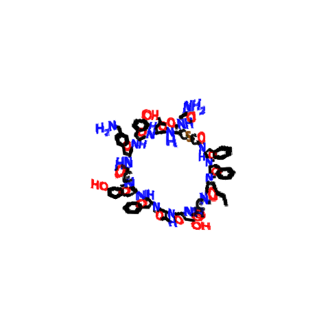 CCCC[C@H]1C(=O)N(C)CC(=O)N[C@@H](CC(=O)O)C(=O)N[C@@H](C(C)C)C(=O)N(C)[C@@H](Cc2ccccc2)C(=O)N[C@@H](Cc2ccc(O)cc2)C(=O)N(C)CC(=O)N[C@@H](Cc2ccc(CN)cc2)C(=O)N[C@@H](Cc2ccc(O)cc2)C(=O)N[C@@H](CC(C)C)C(=O)N[C@H](C(=O)NCC(N)=O)CSCC(=O)N[C@@H](Cc2ccccc2)C(=O)N(C)C(Cc2ccccc2)C(=O)N1C